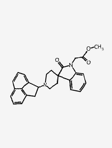 COC(=O)CN1C(=O)C2(CCN(C3Cc4cccc5cccc3c45)CC2)c2ccccc21